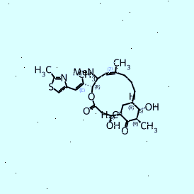 CNC1/C=C(/C)CCC[C@@H]2C[C@](C)(C(=O)[C@H](C)[C@H]2O)[C@@H](O)CC(=O)O[C@@H]1/C(C)=C/c1csc(C)n1